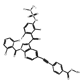 CCN(C)S(=O)(=O)Nc1ccc(F)c(C(=O)c2cn(C(=O)c3c(Cl)cccc3Cl)c3ncc(C#Cc4ccc(C(=O)OC(C)(C)C)cc4)cc23)c1F